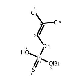 CC(C)COP(O)(=S)OC=C(Cl)Cl